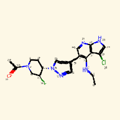 CCNc1c(-c2cnn([C@H]3CCN(C(C)=O)C[C@@H]3F)c2)cnc2[nH]cc(Cl)c12